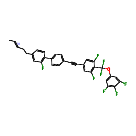 C/C=C/CCc1ccc(-c2ccc(C#Cc3cc(F)c(C(F)(F)Oc4cc(F)c(F)c(F)c4)c(F)c3)cc2)c(F)c1